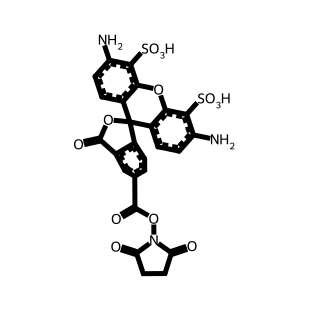 Nc1ccc2c(c1S(=O)(=O)O)Oc1c(ccc(N)c1S(=O)(=O)O)C21OC(=O)c2cc(C(=O)ON3C(=O)CCC3=O)ccc21